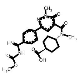 COC(=O)NC(=N)c1ccc(-c2cc(C(=O)N(C)[C@H]3CC[C@H](C(=O)O)CC3)c(=O)n(C)n2)cc1